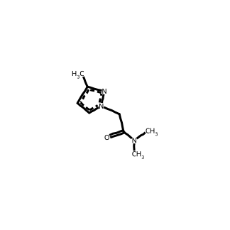 Cc1ccn(CC(=O)N(C)C)n1